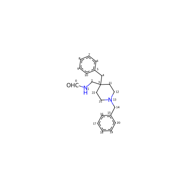 O=CNCC1(Cc2ccccc2)CCN(Cc2ccccc2)CC1